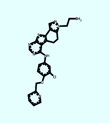 BCCn1ncc2c1CCc1c-2sc2ncnc(Nc3ccc(OCc4ccccn4)c(Cl)c3)c12